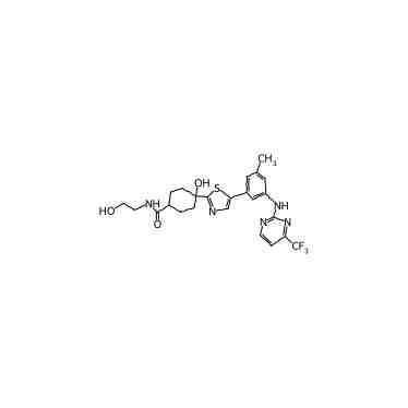 Cc1cc(Nc2nccc(C(F)(F)F)n2)cc(-c2cnc(C3(O)CCC(C(=O)NCCO)CC3)s2)c1